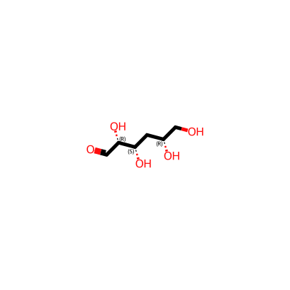 O=C[C@H](O)[C@@H](O)C[C@@H](O)CO